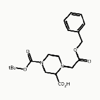 CC(C)(C)OC(=O)N1CCN(CC(=O)OCc2ccccc2)C(C(=O)O)C1